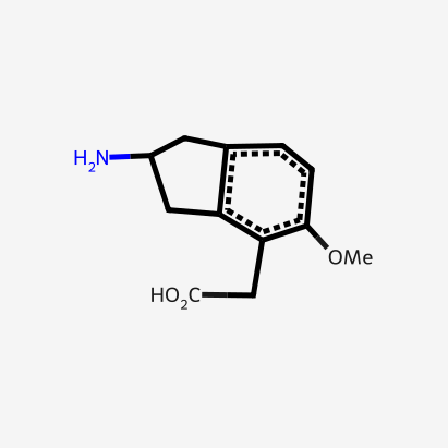 COc1ccc2c(c1CC(=O)O)CC(N)C2